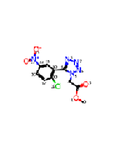 COC(=O)Cn1nnnc1-c1cc([N+](=O)[O-])ccc1Cl